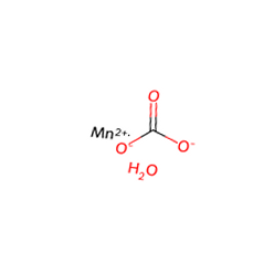 O.O=C([O-])[O-].[Mn+2]